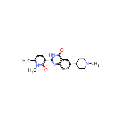 Cc1ccc(-c2nc3ccc(C4CCN(C)CC4)cc3c(=O)[nH]2)c(=O)n1C